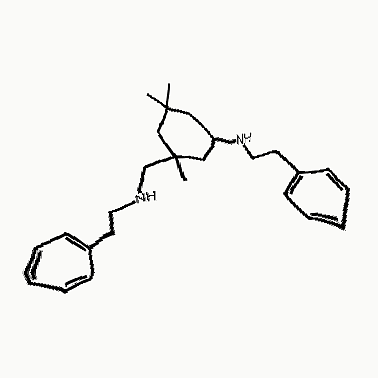 CC1(C)CC(NCCc2ccccc2)CC(C)(CNCCc2ccccc2)C1